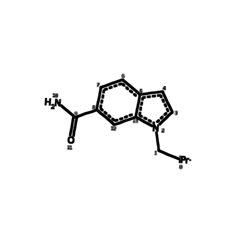 C[C](C)Cn1ccc2ccc(C(N)=O)cc21